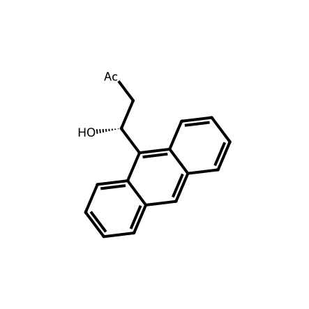 CC(=O)C[C@@H](O)c1c2ccccc2cc2ccccc12